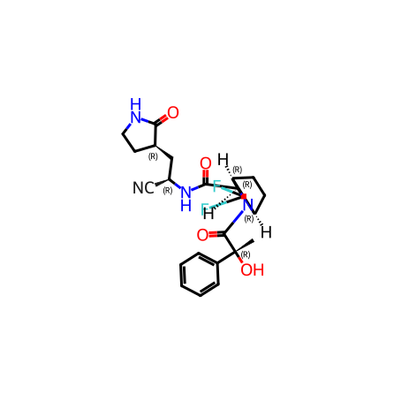 C[C@](O)(C(=O)N1[C@@H]2CC[C@H]([C@@H]1C(=O)N[C@@H](C#N)C[C@H]1CCNC1=O)C(F)(F)C2)c1ccccc1